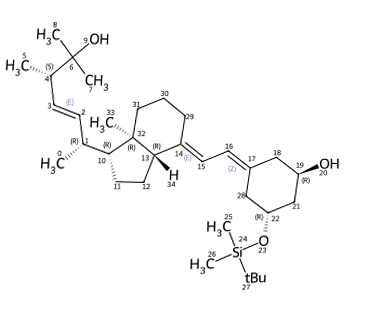 C[C@H](/C=C/[C@H](C)C(C)(C)O)[C@H]1CC[C@H]2/C(=C/C=C3/C[C@@H](O)C[C@H](O[Si](C)(C)C(C)(C)C)C3)CCC[C@]12C